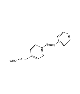 O=[C]OCc1ccc(N=Nc2ccccc2)cc1